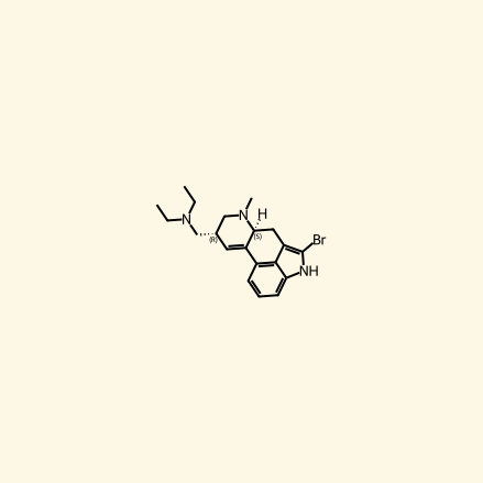 CCN(CC)C[C@H]1C=C2c3cccc4[nH]c(Br)c(c34)C[C@@H]2N(C)C1